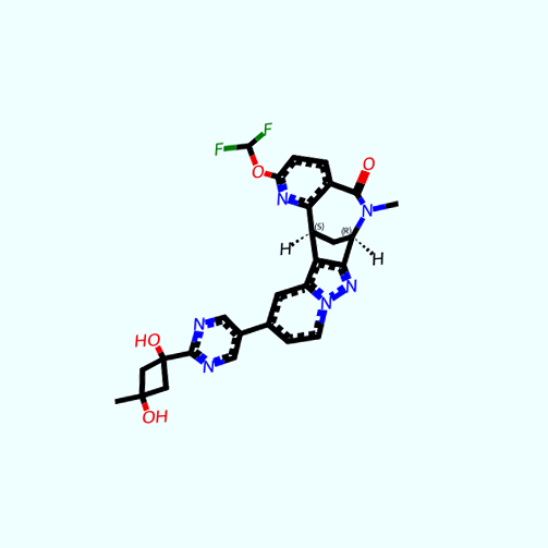 CN1C(=O)c2ccc(OC(F)F)nc2[C@H]2C[C@@H]1c1nn3ccc(-c4cnc(C5(O)CC(C)(O)C5)nc4)cc3c12